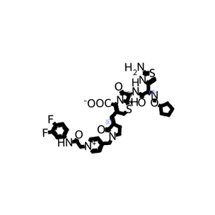 Nc1nc(/C(=N/OC2CCCC2)C(=O)N[C@@H]2C(=O)N3C(C(=O)[O-])=C(/C=C4\CCN(Cc5cc[n+](CC(=O)Nc6ccc(F)c(F)c6)cc5)C4=O)CS[C@H]23)cs1